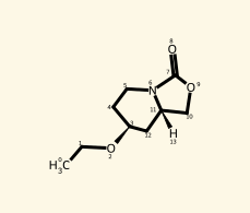 CCO[C@H]1CCN2C(=O)OC[C@@H]2C1